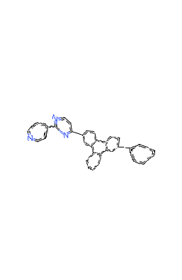 c1ccc(-c2ccc3c4ccc(-c5ccnc(-c6ccncc6)n5)cc4c4ccccc4c3c2)cc1